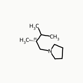 CC(C)[C@@H](C)CN1CCCC1